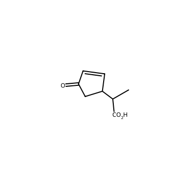 CC(C(=O)O)C1C=CC(=O)C1